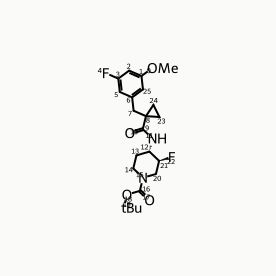 COc1cc(F)cc(CC2(C(=O)N[C@H]3CCN(C(=O)OC(C)(C)C)C[C@@H]3F)CC2)c1